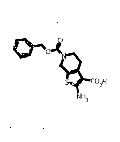 Nc1sc2c(c1C(=O)O)CCN(C(=O)OCc1ccccc1)C2